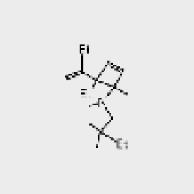 C=C(CC)C1(CC)C=CC1(C)N(C)CC(C)(C)CC